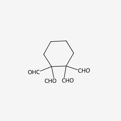 O=CC1(C=O)CCCCC1(C=O)C=O